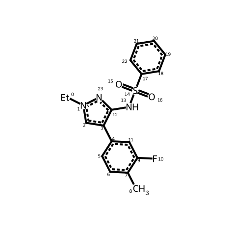 CCn1cc(-c2ccc(C)c(F)c2)c(NS(=O)(=O)c2ccccc2)n1